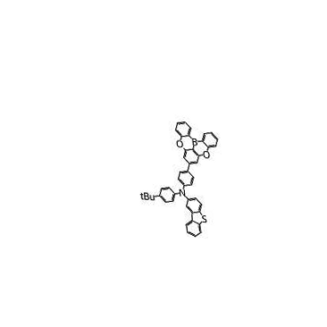 CC(C)(C)c1ccc(N(c2ccc(-c3cc4c5c(c3)Oc3ccccc3B5c3ccccc3O4)cc2)c2ccc3sc4ccccc4c3c2)cc1